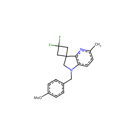 COc1ccc(CN2CC3(CC(F)(F)C3)c3nc(C)ccc32)cc1